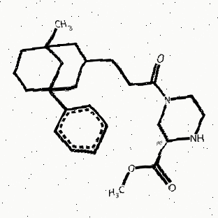 COC(=O)[C@H]1CN(C(=O)CCC2CC3(C)CCCC(c4ccccc4)(C2)C3)CCN1